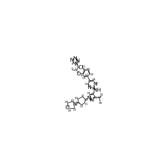 CC(Cn1cnnn1)Oc1cc(-c2cnc(Nc3cn(C4CCC(N5CCOCC5)CC4)nc3C(C)C)nc2)ccc1Cl